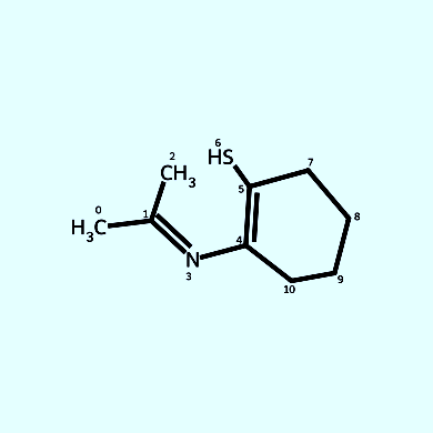 CC(C)=NC1=C(S)CCCC1